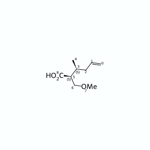 C=CC[C@H](C)[C@@H](COC)C(=O)O